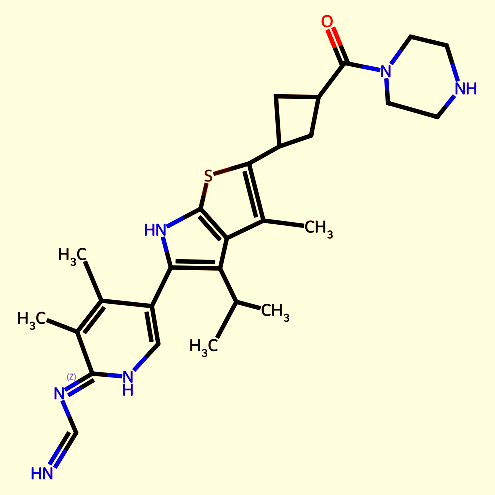 Cc1c(-c2[nH]c3sc(C4CC(C(=O)N5CCNCC5)C4)c(C)c3c2C(C)C)c[nH]/c(=N\C=N)c1C